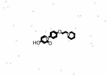 O=c1cc(O)ccn1-c1ccc(OCCN2CCCCC2)cc1